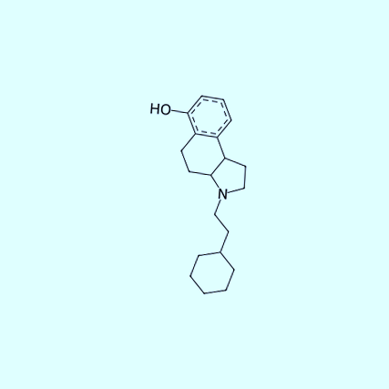 Oc1cccc2c1CCC1C2CCN1CCC1CCCCC1